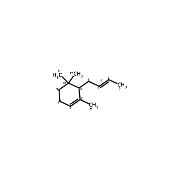 C/C=C/CC1C(C)=CCCC1(C)C